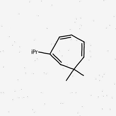 CC(C)C1=CC(C)(C)C=CC=C1